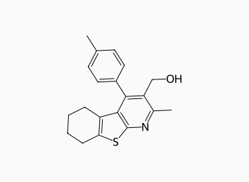 Cc1ccc(-c2c(CO)c(C)nc3sc4c(c23)CCCC4)cc1